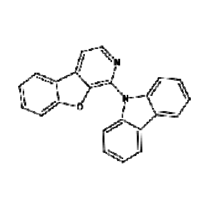 c1ccc2c(c1)oc1c(-n3c4ccccc4c4ccccc43)nccc12